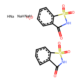 O.O=C1NS(=O)(=O)c2ccccc21.O=C1NS(=O)(=O)c2ccccc21.[NaH].[NaH].[NaH]